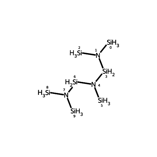 [SiH3]N([SiH3])[SiH2]N([SiH3])[SiH2]N([SiH3])[SiH3]